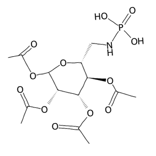 CC(=O)OC1O[C@H](CNP(=O)(O)O)[C@@H](OC(C)=O)[C@H](OC(C)=O)[C@@H]1OC(C)=O